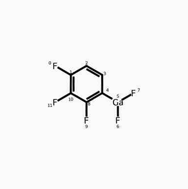 Fc1cc[c]([Ga]([F])[F])c(F)c1F